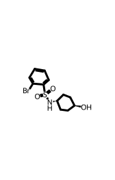 O=S(=O)(N[C@H]1CC[C@H](O)CC1)c1ccccc1Br